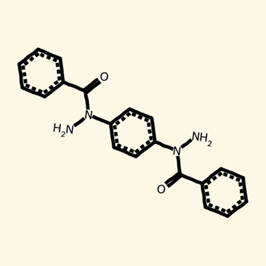 NN(C(=O)c1ccccc1)c1ccc(N(N)C(=O)c2ccccc2)cc1